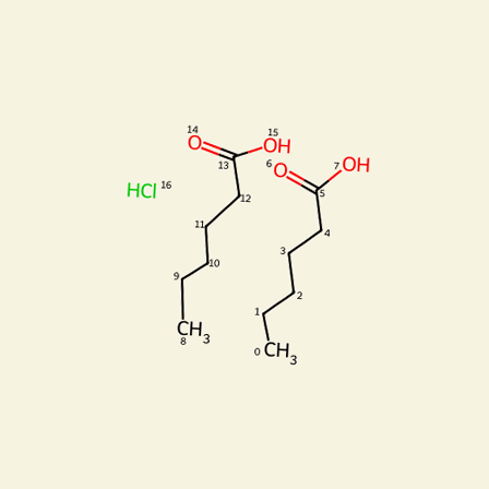 CCCCCC(=O)O.CCCCCC(=O)O.Cl